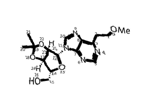 COCCc1ncnc2c1ncn2[C@@H]1O[C@H](CO)[C@H]2OC(C)(C)O[C@H]21